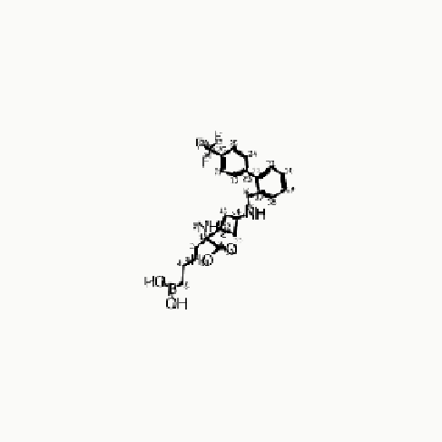 N[C@](CCCCB(O)O)(C(=O)O)C1CC(NCc2ccccc2-c2ccc(C(F)(F)F)cc2)C1